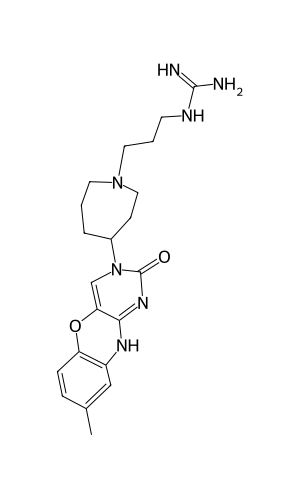 Cc1ccc2c(c1)Nc1nc(=O)n(C3CCCN(CCCNC(=N)N)CC3)cc1O2